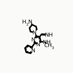 CNc1nc(-c2ccccn2)nc(N2CCC(N)CC2)c1C=N